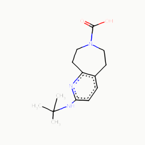 CC(C)(C)Nc1ccc2c(n1)CCN(C(=O)O)CC2